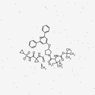 C=C[C@@H]1C[C@]1(NC(=O)[C@@H]1C[C@@H](Oc2cc(-c3ccccc3)nc(-c3ccccc3)c2)CN1C(=O)[C@@H](NC(=O)OC(C)(C)C)C(C)(C)C)C(=O)NS(=O)(=O)C1CC1